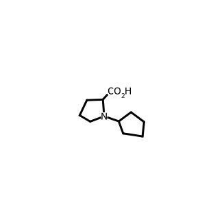 O=C(O)C1CCCN1C1CCCC1